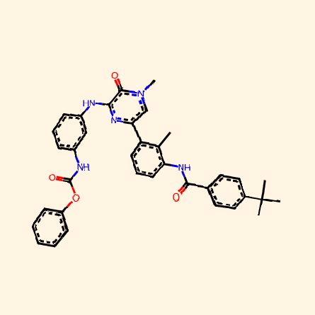 Cc1c(NC(=O)c2ccc(C(C)(C)C)cc2)cccc1-c1cn(C)c(=O)c(Nc2cccc(NC(=O)Oc3ccccc3)c2)n1